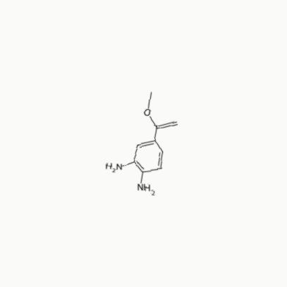 C=C(OC)c1ccc(N)c(N)c1